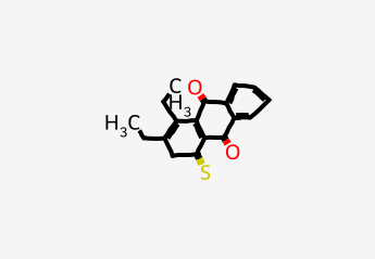 CCC1=C(CC)C2=C(C(=O)c3ccccc3C2=O)C(=S)C1